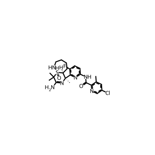 Cc1cc(Cl)cnc1C(=O)Nc1ccc(F)c([C@@]2(C)N=C(N)C(C)(C)[SH]3(=O)NCCCC[C@@H]23)n1